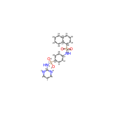 O=S(=O)(Nc1ncccn1)c1ccc(NS(=O)(=O)c2cccc3ccccc23)cc1